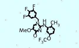 COc1cn(Cc2cc(F)c(F)c(F)c2)c(Nc2cc(OC(F)(F)F)ccc2C)nc1=O